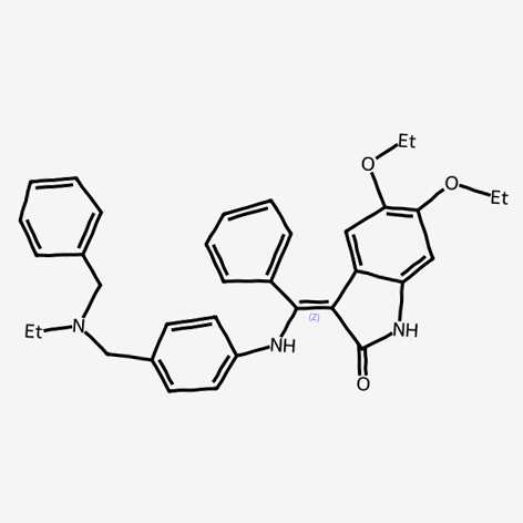 CCOc1cc2c(cc1OCC)/C(=C(/Nc1ccc(CN(CC)Cc3ccccc3)cc1)c1ccccc1)C(=O)N2